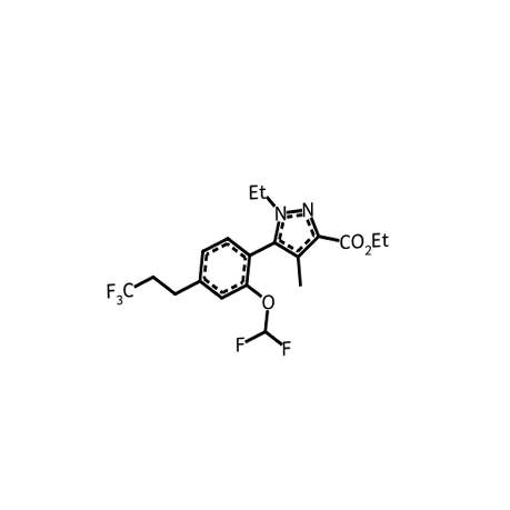 CCOC(=O)c1nn(CC)c(-c2ccc(CCC(F)(F)F)cc2OC(F)F)c1C